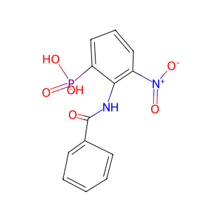 O=C(Nc1c([N+](=O)[O-])cccc1P(=O)(O)O)c1ccccc1